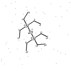 CC[Si](CC)(CC)[Zn][Si](CC)(CC)CC